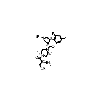 C[C@@H]1CN(C(=O)[C@@H]2CN(C(C)(C)C)C[C@H]2c2ccc(F)cc2F)[C@@H](C)CN1C(=O)[C@@H](N)CC(C)(C)C